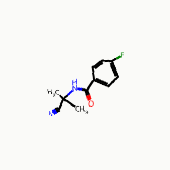 [CH2]C(C)(C#N)NC(=O)c1ccc(F)cc1